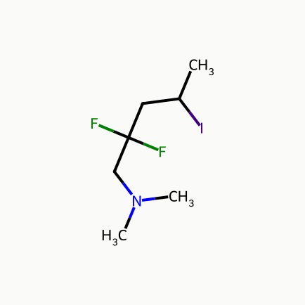 CC(I)CC(F)(F)CN(C)C